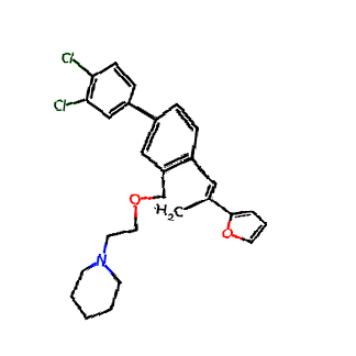 [CH2]C(=Cc1ccc(-c2ccc(Cl)c(Cl)c2)cc1COCCN1CCCCC1)c1ccco1